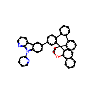 c1ccc(-n2c3ccc(-c4ccc5c(c4)C4(c6ccccc6Oc6c4ccc4ccccc64)c4ccccc4-c4ccccc4-5)cc3c3cccnc32)nc1